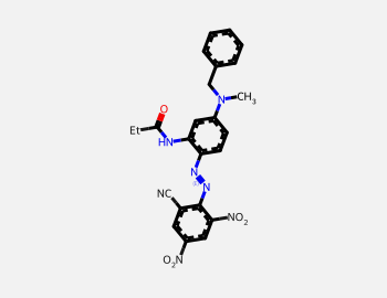 CCC(=O)Nc1cc(N(C)Cc2ccccc2)ccc1/N=N/c1c(C#N)cc([N+](=O)[O-])cc1[N+](=O)[O-]